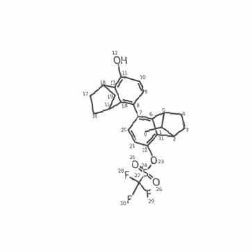 CC1C2CCC1c1c(-c3ccc(O)c4c3C3CCC4C3)ccc(OS(=O)(=O)C(F)(F)F)c12